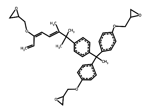 C=C/C(=C\C=C(/C)C(C)(C)c1ccc(C(C)(c2ccc(OCC3CO3)cc2)c2ccc(OCC3CO3)cc2)cc1)OCC1CO1